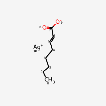 CCCCCC=CC(=O)[O-].[Ag+]